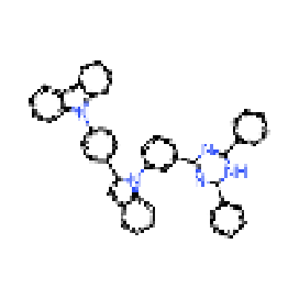 c1ccc(C2=NC(c3cccc(-n4c(-c5ccc(-n6c7ccccc7c7ccccc76)cc5)cc5ccccc54)c3)=NC(c3ccccc3)N2)cc1